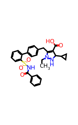 CCN1NC(C2CC2)C(C(=O)O)=C1Cc1ccc(-c2ccccc2S(=O)(=O)NC(=O)c2ccccc2)cc1